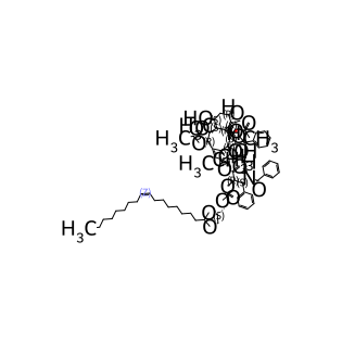 CCCCCCCC/C=C\CCCCCCCC1OC[C@@H](COC(=O)O[C@@H](C(=O)O[C@H]2C[C@@]3(O)[C@@H](OC(=O)c4ccccc4)[C@@H]4[C@]5(OC(C)=O)CO[C@@H]5C[C@H](O)[C@@]4(C)C(=O)[C@H](OC(C)=O)C(=C2C)C3(C)C)[C@@H](NC(=O)c2ccccc2)c2ccccc2)O1